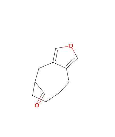 O=C1C2CCC1Cc1cocc1C2